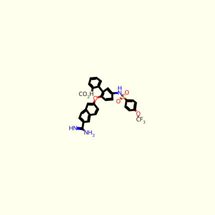 N=C(N)c1ccc2cc(Oc3ccc(NS(=O)(=O)c4ccc(OC(F)(F)F)cc4)cc3-c3ccccc3C(=O)O)ccc2c1